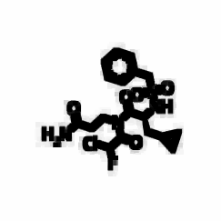 NC(=O)CCN(C(=O)C(F)Cl)C(=O)[C@H](CC1CC1)NS(=O)(=O)Cc1ccccc1